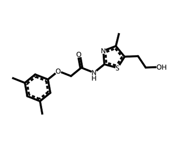 Cc1cc(C)cc(OCC(=O)Nc2nc(C)c(CCO)s2)c1